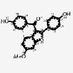 COc1ccc2c(C(=O)c3ccc(O)cc3)c(-c3ccc(O)cc3)sc2c1